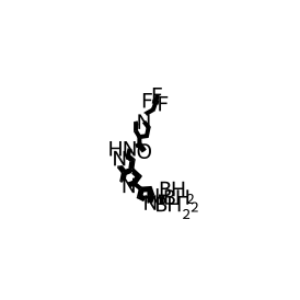 BC(B)(B)n1cc(-c2cc3cc(NC(=O)C4CCN(CCC(F)(F)F)CC4)ncc3cn2)cn1